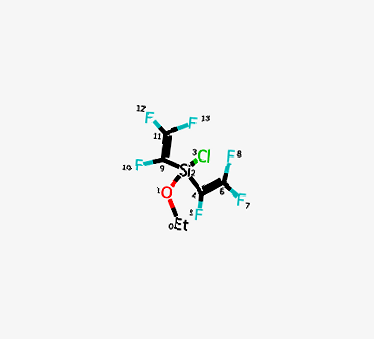 CCO[Si](Cl)(C(F)=C(F)F)C(F)=C(F)F